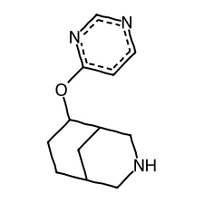 c1cc(OC2CCC3CNCC2C3)ncn1